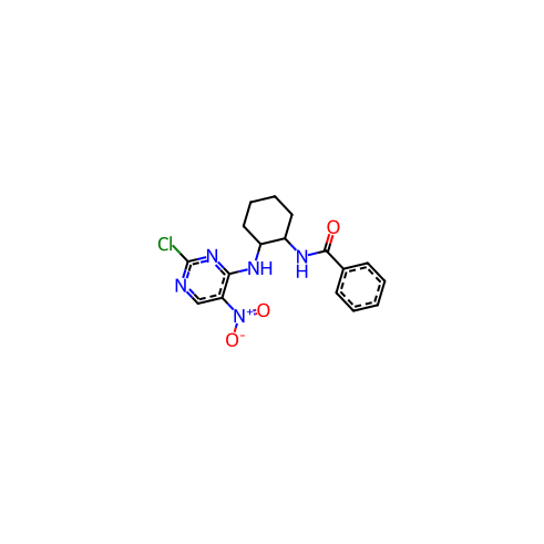 O=C(NC1CCCCC1Nc1nc(Cl)ncc1[N+](=O)[O-])c1ccccc1